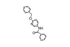 O=C(Nc1ccc(OCc2ccccc2)nc1)c1ccccc1